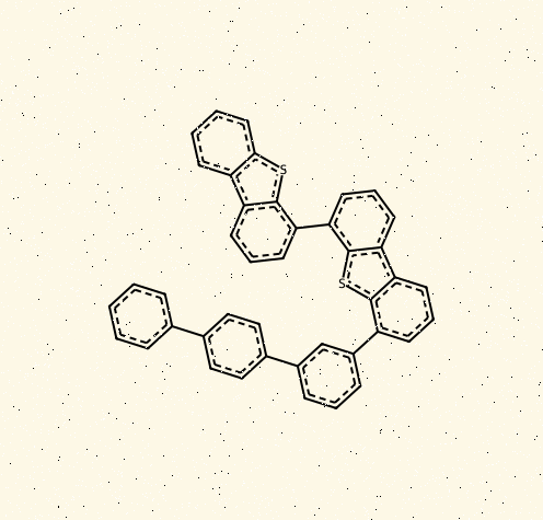 c1ccc(-c2ccc(-c3cccc(-c4cccc5c4sc4c(-c6cccc7c6sc6ccccc67)cccc45)c3)cc2)cc1